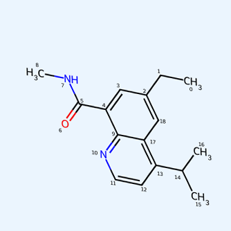 CCc1cc(C(=O)NC)c2nccc(C(C)C)c2c1